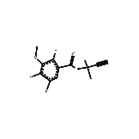 C#CC(C)(C)OC(=O)c1cc(F)c(F)c(OC)c1F